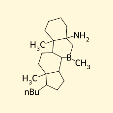 CCCCC1CCC2C3B(C)CC4(N)CCCCC4(C)C3CCC12C